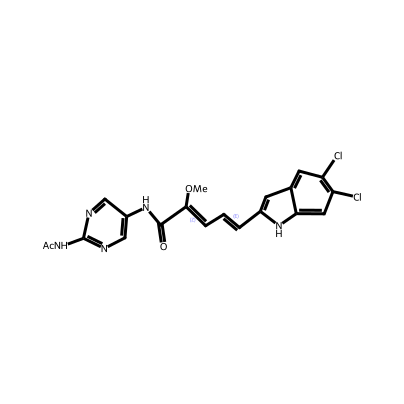 CO/C(=C\C=C\c1cc2cc(Cl)c(Cl)cc2[nH]1)C(=O)Nc1cnc(NC(C)=O)nc1